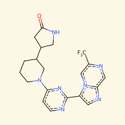 O=C1CC(C2CCCN(c3ccnc(-c4cnc5cnc(C(F)(F)F)cn45)n3)C2)CN1